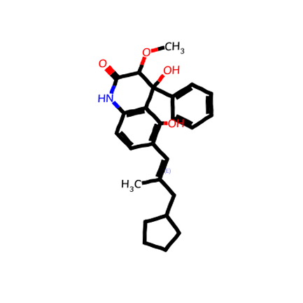 COC1C(=O)Nc2ccc(/C=C(\C)CC3CCCC3)c(O)c2C1(O)c1ccccc1